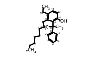 CCCCCCCCc1c(CC)ccc(O)c1C(C)(C)c1ccccc1